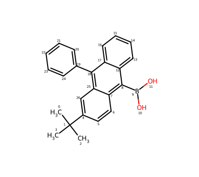 CC(C)(C)c1ccc2c(B(O)O)c3ccccc3c(-c3ccccc3)c2c1